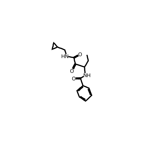 CCC(NC(=O)c1ccccc1)C(=O)C(=O)NCC1CC1